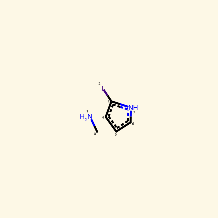 CN.Ic1ccc[nH]1